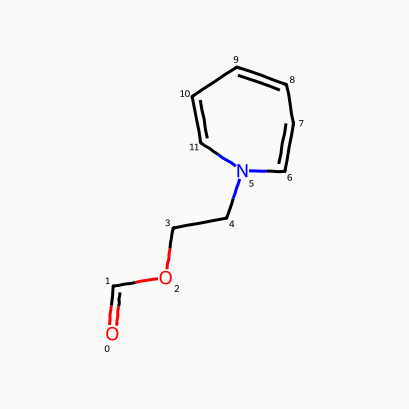 O=COCCN1C=CC=CC=C1